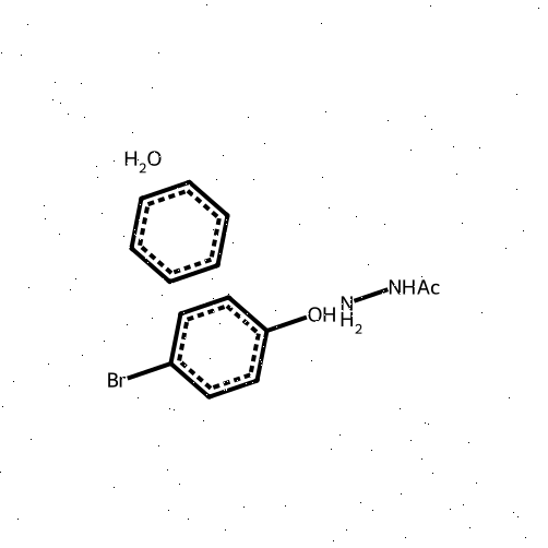 CC(=O)NN.O.Oc1ccc(Br)cc1.c1ccccc1